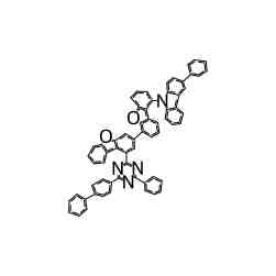 c1ccc(-c2ccc(-c3nc(-c4ccccc4)nc(-c4cc(-c5cccc6c5oc5cccc(-n7c8ccccc8c8cc(-c9ccccc9)ccc87)c56)cc5oc6ccccc6c45)n3)cc2)cc1